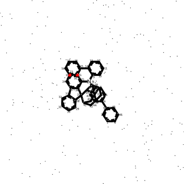 c1ccc(-c2ccc(N(c3ccccc3-c3ccccc3)c3cccc4c3C3(c5ccccc5-4)C4CC5CC(C4)CC3C5)cc2)cc1